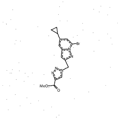 COC(=O)c1cn(Cc2cc3cc(C4CC4)cc(Br)n3n2)nn1